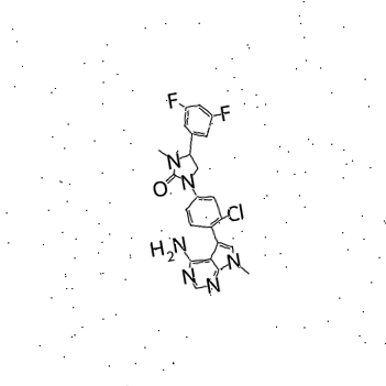 CN1C(=O)N(c2ccc(-c3cn(C)c4ncnc(N)c34)c(Cl)c2)CC1c1cc(F)cc(F)c1